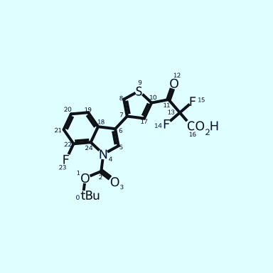 CC(C)(C)OC(=O)n1cc(-c2csc(C(=O)C(F)(F)C(=O)O)c2)c2cccc(F)c21